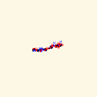 Cc1cccc(C(=O)NC2CC(n3cnc4c(NCc5cccc(OCCCN6CCN(C(=O)CNc7ccc8c(c7)C(=O)N([C@H]7CCC(=O)NC7=O)C8=O)CC6)c5)ncnc43)C2)n1